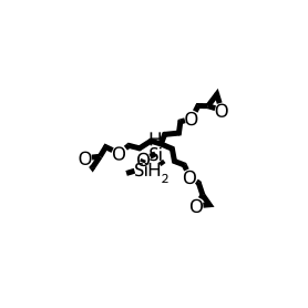 C[SiH2]O[SiH](C)C(CCCOCC1CO1)(CCCOCC1CO1)CCCOCC1CO1